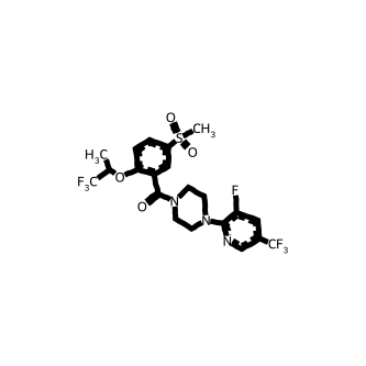 CC(Oc1ccc(S(C)(=O)=O)cc1C(=O)N1CCN(c2ncc(C(F)(F)F)cc2F)CC1)C(F)(F)F